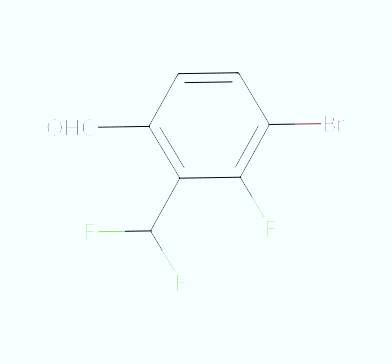 O=Cc1ccc(Br)c(F)c1C(F)F